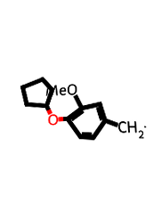 [CH2]c1ccc(OC2CCCC2)c(OC)c1